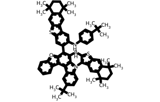 CC(C)(C)c1ccc(Nc2cc3c(cc2-c2c4c5c(c6cc(C(C)(C)C)ccc6n5-c5c(sc6cc7c(cc56)C(C)(C)CCC7(C)C)B4)c4c2oc2ccccc24)sc2cc4c(cc23)C(C)(C)CCC4(C)C)cc1